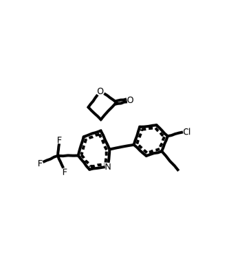 Cc1cc(-c2ccc(C(F)(F)F)cn2)ccc1Cl.O=C1CCO1